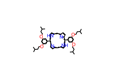 CC(C)CCOc1cc(OCCC(C)C)cc(-c2c3nc(cc4ccc([nH]4)c(-c4cc(OCCC(C)C)cc(OCCC(C)C)c4)c4nc(cc5ccc2[nH]5)C=C4)C=C3)c1